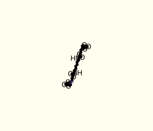 O=C(NCCCCCCNC(=O)OC/C=C1/COC(=O)O1)OCC=C1COC(=O)O1